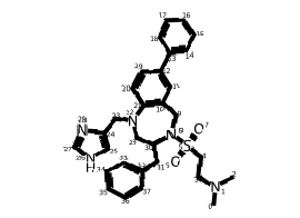 CN(C)CCS(=O)(=O)N1Cc2cc(-c3ccccc3)ccc2N(Cc2c[nH]cn2)CC1Cc1ccccc1